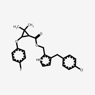 CC1(C)C(Oc2ccc(F)cc2)C1C(=O)OCc1[nH]ccc1Cc1ccc(Cl)cc1